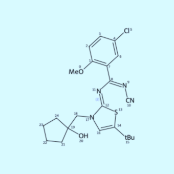 COc1ccc(Cl)cc1C(=NC#N)/N=c1\sc(C(C)(C)C)cn1CC1(O)CCCC1